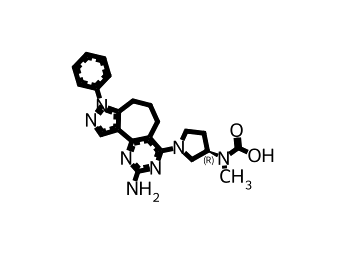 CN(C(=O)O)[C@@H]1CCN(c2nc(N)nc3c2CCCc2c-3cnn2-c2ccccc2)C1